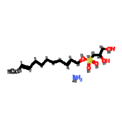 CCCCCCCCC=CCCCCCCCCOS(=O)(=O)CC(O)CO.N